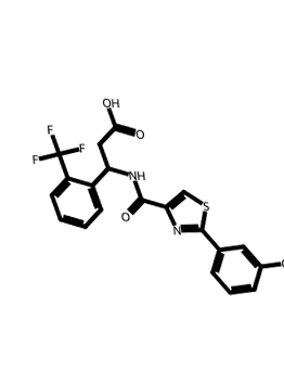 O=C(O)CC(NC(=O)c1csc(-c2cccc(Cl)c2)n1)c1ccccc1C(F)(F)F